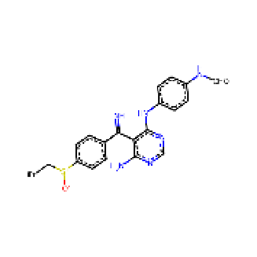 CC(C)C[S+]([O-])c1ccc(C(=N)c2c(N)ncnc2Nc2ccc(NC=O)cc2)cc1